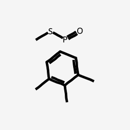 CSP=O.Cc1cccc(C)c1C